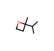 CC(C)C1(C)CCO1